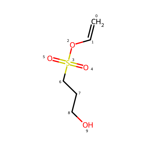 C=COS(=O)(=O)CCCO